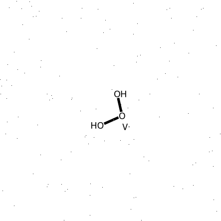 OOO.[V]